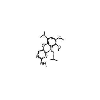 COc1cc(Oc2cnc(N)nc2NCC(C)C)c(C(C)C)cc1OC